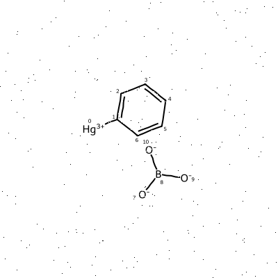 [Hg+3][c]1ccccc1.[O-]B([O-])[O-]